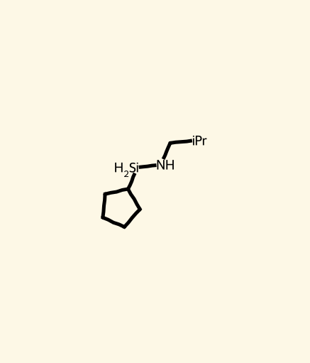 CC(C)CN[SiH2]C1CCCC1